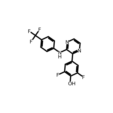 Oc1c(F)cc(-c2nccnc2Nc2ccc(C(F)(F)F)cc2)cc1F